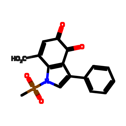 CS(=O)(=O)n1cc(-c2ccccc2)c2c1C(C(=O)O)=CC(=O)C2=O